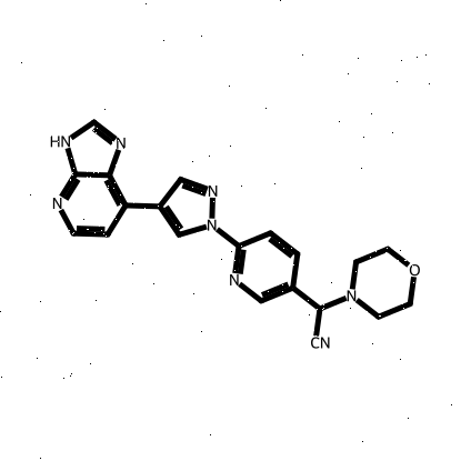 N#CC(c1ccc(-n2cc(-c3ccnc4[nH]cnc34)cn2)nc1)N1CCOCC1